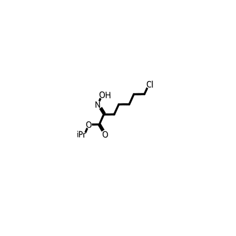 CC(C)OC(=O)C(CCCCCCl)=NO